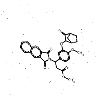 COC(=O)CC(c1ccc(OC)c(OC2C(=O)C3CCC2C3)c1)N1C(=O)c2cc3ccccc3cc2C1=O